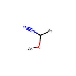 CCC([N+]#N)OC(C)=O